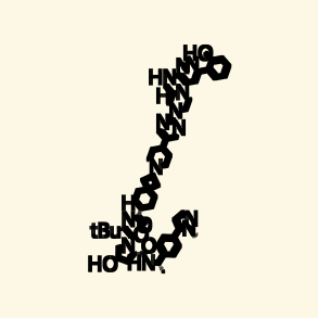 C[C@H](NC(=O)[C@@H]1C[C@@H](O)CN1C(=O)[C@@H](NC(=O)[C@H]1CCC2(CC1)C[C@H](N1CCC(c3cnc(N4CCN5c6cc(-c7ccccc7O)nnc6NC[C@H]5C4)nc3)CC1)C2)C(C)(C)C)c1ccc(-c2ccnn2C)cc1